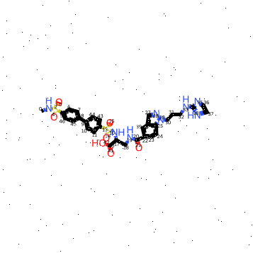 CNS(=O)(=O)c1ccc(-c2ccc(S(=O)(=O)NC(CNC(=O)c3ccc4c(cnn4CCCNc4ncc[nH]4)c3)C(=O)O)cc2)cc1